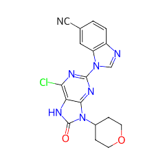 N#Cc1ccc2ncn(-c3nc(Cl)c4[nH]c(=O)n(C5CCOCC5)c4n3)c2c1